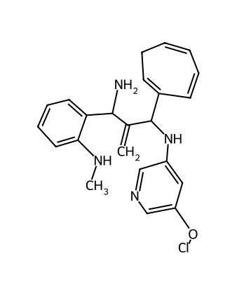 C=C(C(Nc1cncc(OCl)c1)C1=CCC=CC=C1)C(N)c1ccccc1NC